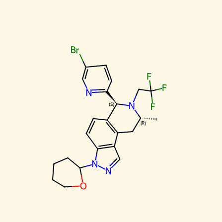 C[C@@H]1Cc2c(ccc3c2cnn3C2CCCCO2)[C@@H](c2ccc(Br)cn2)N1CC(F)(F)F